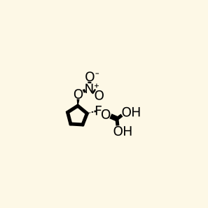 O=C(O)O.O=[N+]([O-])O[C@@H]1CCC[C@H]1F